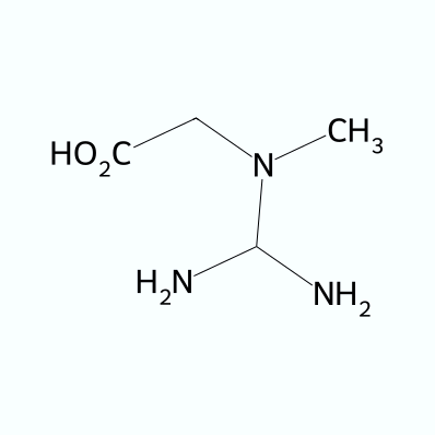 CN(CC(=O)O)C(N)N